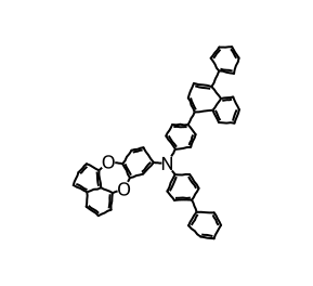 c1ccc(-c2ccc(N(c3ccc(-c4ccc(-c5ccccc5)c5ccccc45)cc3)c3ccc4c(c3)Oc3cccc5cccc(c35)O4)cc2)cc1